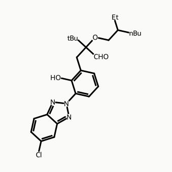 CCCCC(CC)COC(C=O)(Cc1cccc(-n2nc3ccc(Cl)cc3n2)c1O)C(C)(C)C